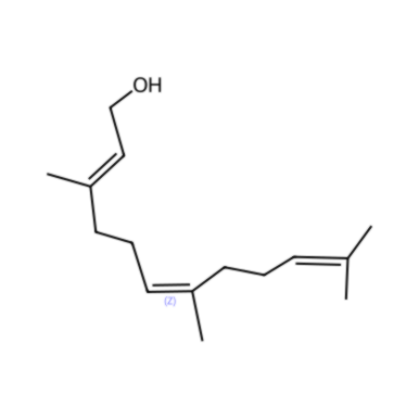 CC(C)=CCC/C(C)=C\CCC(C)=CCO